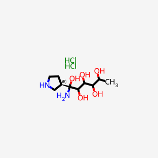 CC(O)C(O)C(O)C(O)C(N)(O)[C@@H]1CCNC1.Cl.Cl